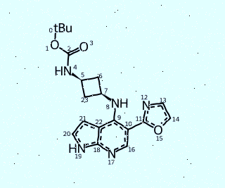 CC(C)(C)OC(=O)N[C@H]1C[C@@H](Nc2c(-c3ncco3)cnc3[nH]ccc23)C1